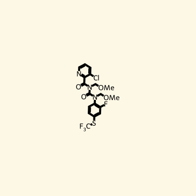 COCN(C(=O)c1ncccc1Cl)C(=O)N(COC)c1ccc(SC(F)(F)F)cc1F